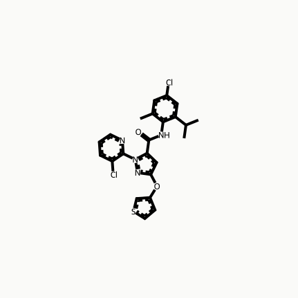 Cc1cc(Cl)cc(C(C)C)c1NC(=O)c1cc(Oc2ccsc2)nn1-c1ncccc1Cl